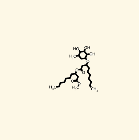 CCCCCCCC(CC(=O)OC)OC(=O)CC(CCCCCCC)OC1CC(C)C(O)C(O)C1O